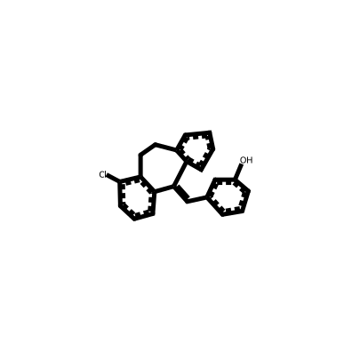 Oc1cccc(/C=C2\c3ccccc3CCc3c(Cl)cccc32)c1